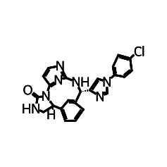 O=C1NC[C@@H]2c3cccc(c3)[C@@H](c3cn(-c4ccc(Cl)cc4)cn3)Nc3nccc(n3)N12